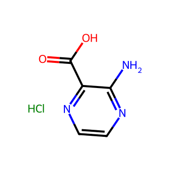 Cl.Nc1nccnc1C(=O)O